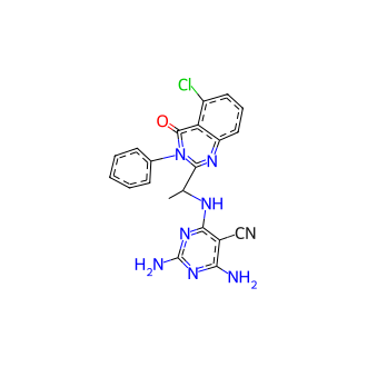 CC(Nc1nc(N)nc(N)c1C#N)c1nc2cccc(Cl)c2c(=O)n1-c1ccccc1